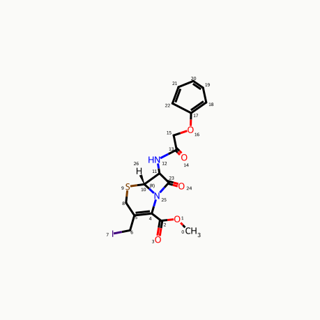 COC(=O)C1=C(CI)CS[C@@H]2C(NC(=O)COc3ccccc3)C(=O)N12